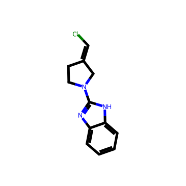 Cl/C=C1\CCN(c2nc3ccccc3[nH]2)C1